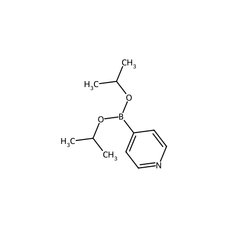 CC(C)OB(OC(C)C)c1ccncc1